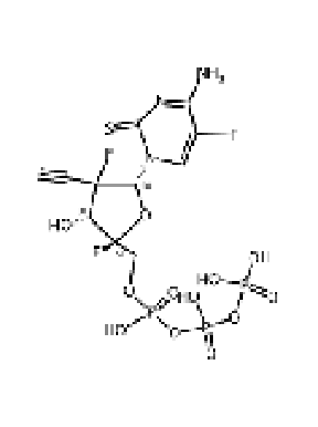 C#CC1(F)[C@@H](O)[C@@](F)(COP(=O)(O)OP(=O)(O)OP(=O)(O)O)O[C@H]1n1cc(F)c(N)nc1=S